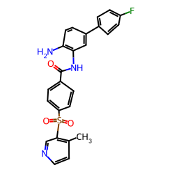 Cc1ccncc1S(=O)(=O)c1ccc(C(=O)Nc2cc(-c3ccc(F)cc3)ccc2N)cc1